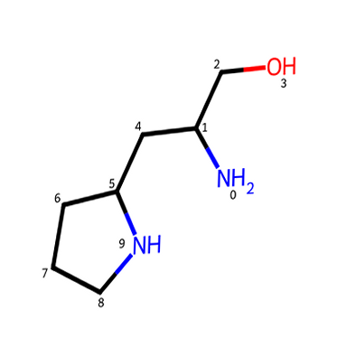 NC(CO)CC1CCCN1